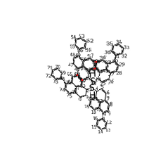 C1=CC([SH](C2C=Cc3ccc(-c4ccccc4)c4cccc2c34)[SH](C2C=Cc3ccc(-c4ccccc4)c4cccc2c34)C2C=Cc3ccc(-c4ccccc4)c4cccc2c34)c2cccc3c(-c4ccccc4)ccc1c23